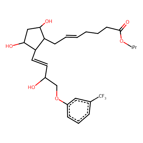 CC(C)OC(=O)CCCC=CCC1C(O)CC(O)C1C=CC(O)COc1cccc(C(F)(F)F)c1